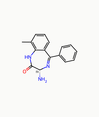 Cc1cccc2c1NC(=O)[C@@H](N)N=C2c1ccccc1